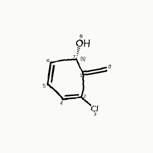 C=C1C(Cl)=CC=C[C@@H]1O